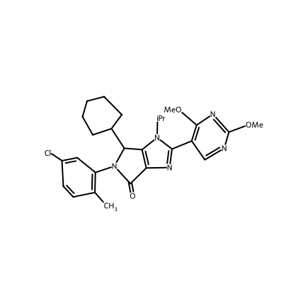 COc1ncc(-c2nc3c(n2C(C)C)C(C2CCCCC2)N(c2cc(Cl)ccc2C)C3=O)c(OC)n1